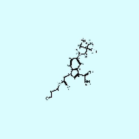 CCCCOC(=O)Cn1cc(C(N)=O)c2cc(B3OC(C)C(C)(C)O3)ccc21